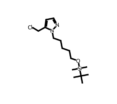 CC(C)(C)[Si](C)(C)OCCCCCn1nccc1CCl